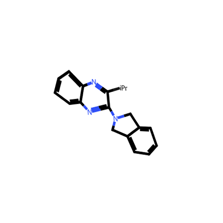 CC(C)c1nc2ccccc2nc1N1Cc2ccccc2C1